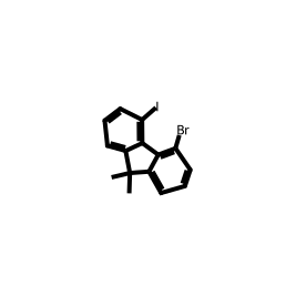 CC1(C)c2cccc(Br)c2-c2c(I)cccc21